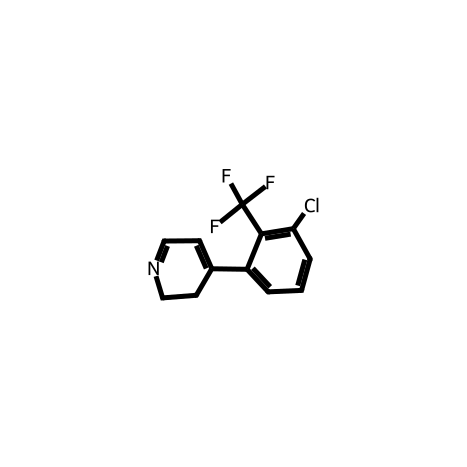 FC(F)(F)c1c(Cl)cccc1C1=CC=NCC1